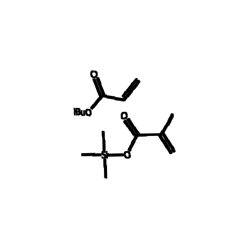 C=C(C)C(=O)O[Si](C)(C)C.C=CC(=O)OCC(C)C